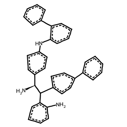 Nc1ccccc1C(c1ccc(-c2ccccc2)cc1)[C@@H](N)c1ccc(Nc2ccccc2-c2ccccc2)cc1